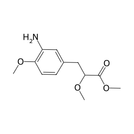 COC(=O)C(Cc1ccc(OC)c(N)c1)OC